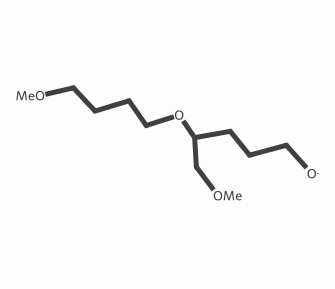 COCCCCOC(CCC[O])COC